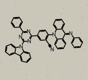 N#Cc1cc(-c2nc(-c3ccccc3)nc(-n3c4ccccc4c4ccccc43)n2)ccc1-n1c2ccccc2c(=Nc2ccccc2)c2ccccc21